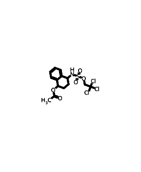 CC(=O)OC1CCC(NS(=O)(=O)OCC(Cl)(Cl)Cl)c2ccccc21